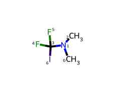 CN(C)C(F)(F)I